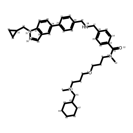 CN(CCCOCCCN(C)C(=O)c1ccc(CNCc2ccc(-c3ccc4c(cnn4CC4CC4)c3)cc2)cc1)CC1CCCCC1